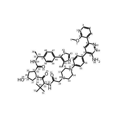 COc1ncccc1-c1cc(-c2ccc(N3CCN(CC(=O)N[C@H](C(=O)N4C[C@H](O)C[C@H]4C(=O)N[C@@H](C)c4ccc(-c5scnc5C)cc4)C(C)(C)C)CC3)cc2)c(N)nn1